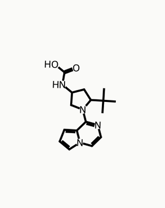 CC(C)(C)C1CC(NC(=O)O)CN1c1nccn2cccc12